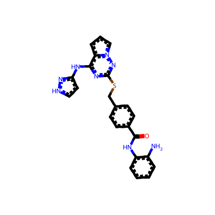 Nc1ccccc1NC(=O)c1ccc(CSc2nc(Nc3cc[nH]n3)c3cccn3n2)cc1